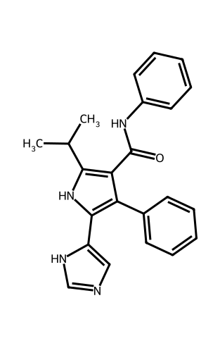 CC(C)c1[nH]c(-c2cnc[nH]2)c(-c2ccccc2)c1C(=O)Nc1ccccc1